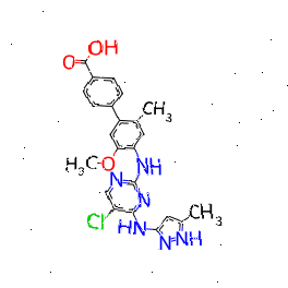 COc1cc(-c2ccc(C(=O)O)cc2)c(C)cc1Nc1ncc(Cl)c(Nc2cc(C)[nH]n2)n1